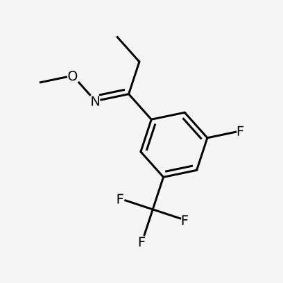 CCC(=NOC)c1cc(F)cc(C(F)(F)F)c1